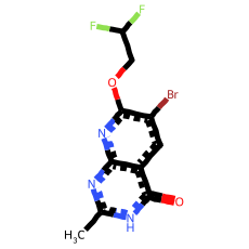 Cc1nc2nc(OCC(F)F)c(Br)cc2c(=O)[nH]1